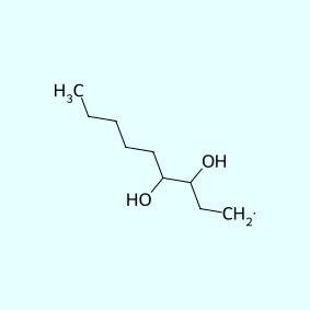 [CH2]CC(O)C(O)CCCCC